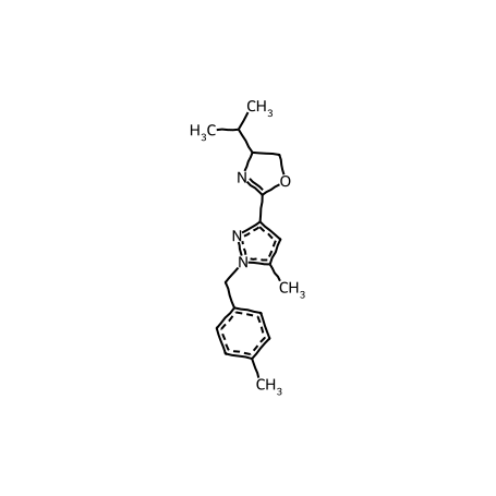 Cc1ccc(Cn2nc(C3=NC(C(C)C)CO3)cc2C)cc1